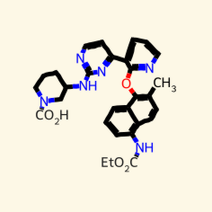 CCOC(=O)Nc1cccc2c(Oc3ncccc3-c3ccnc(NC4CCCN(C(=O)O)C4)n3)c(C)ccc12